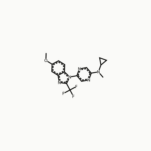 COc1ccc2c(c1)nc(C(F)(F)F)n2-c1cnc(N(C)C2CC2)cn1